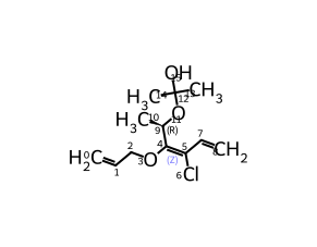 C=CCO/C(=C(\Cl)C=C)[C@@H](C)OC(C)(C)O